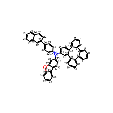 c1ccc2c(c1)-c1ccccc1-c1ccc(N(c3ccc(-c4ccc5ccccc5c4)cc3)c3ccc4c(c3)oc3ccccc34)cc1-c1ccccc1-2